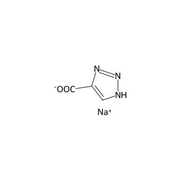 O=C([O-])c1c[nH]nn1.[Na+]